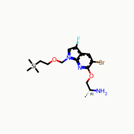 C[C@@H](N)COc1nc2c(cc1Br)c(F)cn2COCC[Si](C)(C)C